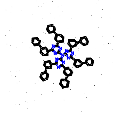 c1ccc(-c2cccc(-c3nc(-c4cccc(-c5ccccc5)c4)nc(N(c4nc(-c5cccc(-c6ccccc6)c5)nc(-c5cccc(-c6ccccc6)c5)n4)c4nc(-c5cccc(-c6ccccc6)c5)nc(-c5cccc(-c6ccccc6)c5)n4)n3)c2)cc1